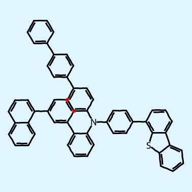 c1ccc(-c2ccc(-c3ccc(N(c4ccc(-c5cccc6c5sc5ccccc56)cc4)c4ccccc4-c4cccc(-c5cccc6ccccc56)c4)cc3)cc2)cc1